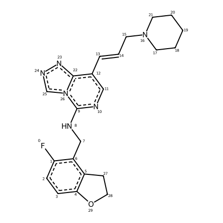 Fc1ccc2c(c1CNc1ncc(/C=C/CN3CCCCC3)c3nncn13)CCO2